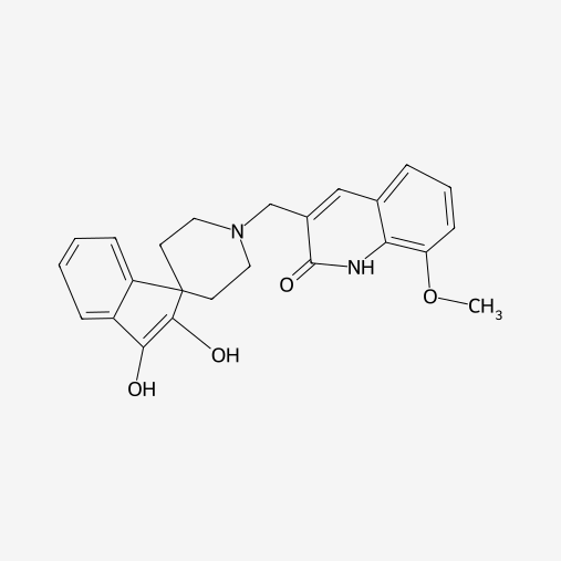 COc1cccc2cc(CN3CCC4(CC3)C(O)=C(O)c3ccccc34)c(=O)[nH]c12